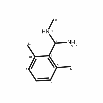 CNC(N)c1c(C)cccc1C